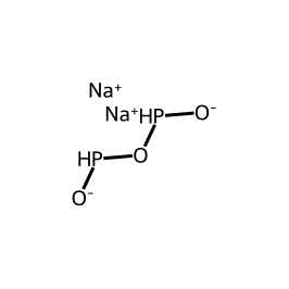 [Na+].[Na+].[O-]POP[O-]